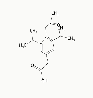 CC(=O)Cc1c(C(C)C)cc(CC(=O)O)cc1C(C)C